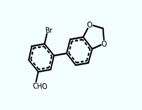 O=Cc1ccc(Br)c(-c2ccc3c(c2)OCO3)c1